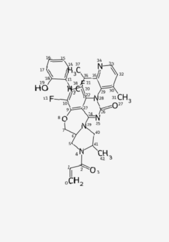 C=CC(=O)N1CC2COc3c(F)c(-c4ccccc4O)c(F)c4c3c(nc(=O)n4-c3c(C)ccnc3C(C)C)N2CC1C